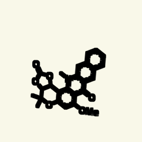 COc1cc2c(c3c1c(=O)c1cc4ccccc4cc1n3C)C1OC(=O)OC1C(C)(C)O2